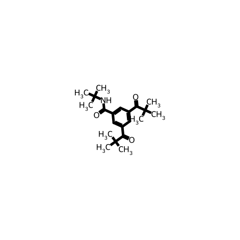 CC(C)(C)NC(=O)c1cc(C(=O)C(C)(C)C)cc(C(=O)C(C)(C)C)c1